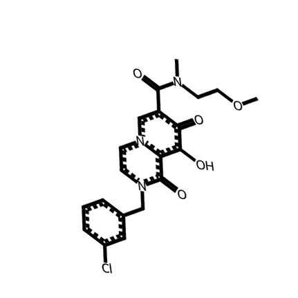 COCCN(C)C(=O)c1cn2ccn(Cc3cccc(Cl)c3)c(=O)c2c(O)c1=O